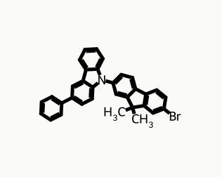 CC1(C)c2cc(Br)ccc2-c2ccc(-n3c4ccccc4c4cc(-c5ccccc5)ccc43)cc21